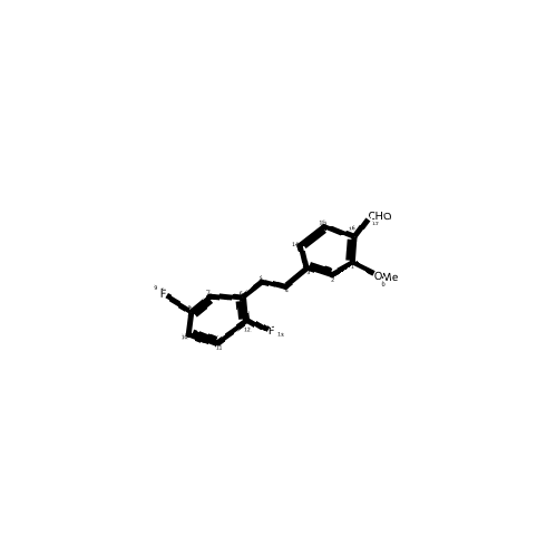 COc1cc(CCc2cc(F)ccc2F)ccc1C=O